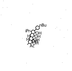 CCCCC1CCC(C2CC(C(C)C)C3C[C@H]4C[C@H]5CC(C)C(C(C)=O)C(O)[C@@]5(O)C(O)C4C(O)C3C2O)CC1